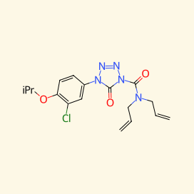 C=CCN(CC=C)C(=O)n1nnn(-c2ccc(OC(C)C)c(Cl)c2)c1=O